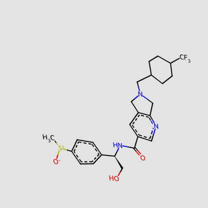 C[S+]([O-])c1ccc([C@H](CO)NC(=O)c2cnc3c(c2)CN(CC2CCC(C(F)(F)F)CC2)C3)cc1